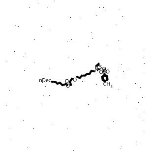 CCCCCCCCCCCCCCCC1OCC(COCCCCCCCCN2C=CSC2OS(=O)(=O)c2ccc(C)cc2)O1